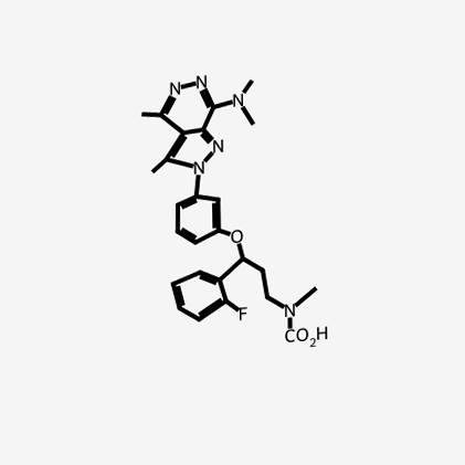 Cc1nnc(N(C)C)c2nn(-c3cccc(OC(CCN(C)C(=O)O)c4ccccc4F)c3)c(C)c12